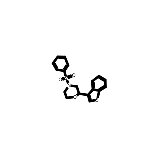 O=S(=O)(c1ccccc1)N1CCOC(c2csc3ccccc23)C1